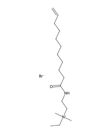 C=CCCCCCCCCC(=O)NCC[N+](C)(C)CC.[Br-]